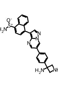 N[S+]([O-])c1ccc(-c2cnn3cc(-c4ccc(C5(N)CNC5)cc4)cnc23)c2ccccc12